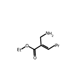 CCOC(=O)C(=CC(C)C)CN